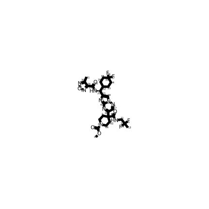 COC(=O)N1CCC(C(=O)NCC(C)(F)F)(c2cnn3cc([C@@H](NC(=O)c4nonc4C)C4CCC(F)(F)CC4)nc3n2)CC1